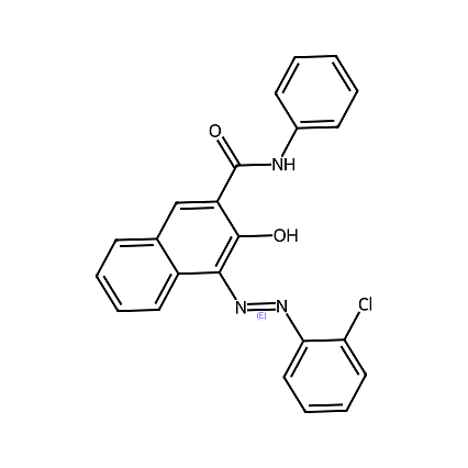 O=C(Nc1ccccc1)c1cc2ccccc2c(/N=N/c2ccccc2Cl)c1O